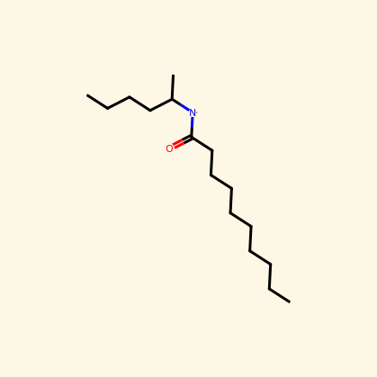 CCCCCCCCCC(=O)[N]C(C)CCCC